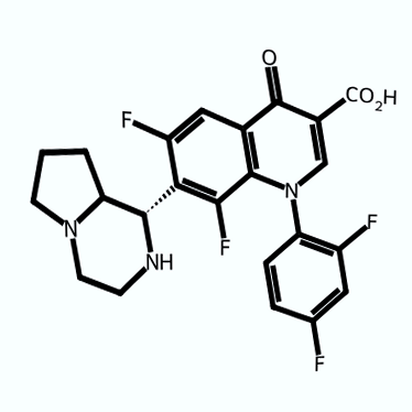 O=C(O)c1cn(-c2ccc(F)cc2F)c2c(F)c([C@@H]3NCCN4CCCC34)c(F)cc2c1=O